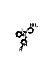 N#Cc1ccc(Cn2c(N3CCC[C@H](N)C3)nc3ccccc32)cn1